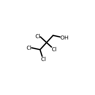 OCC(Cl)(Cl)C(Cl)Cl